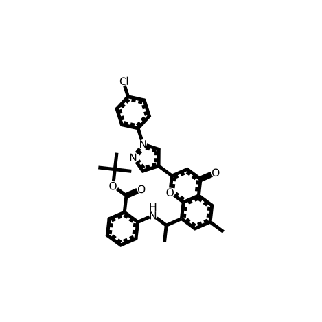 Cc1cc(C(C)Nc2ccccc2C(=O)OC(C)(C)C)c2oc(-c3cnn(-c4ccc(Cl)cc4)c3)cc(=O)c2c1